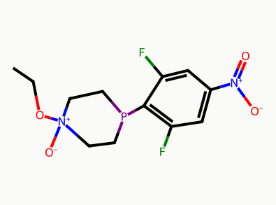 CCO[N+]1([O-])CCP(c2c(F)cc([N+](=O)[O-])cc2F)CC1